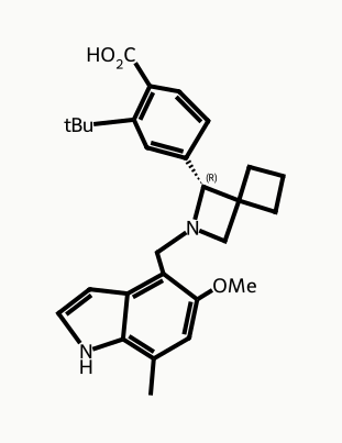 COc1cc(C)c2[nH]ccc2c1CN1CC2(CCC2)[C@H]1c1ccc(C(=O)O)c(C(C)(C)C)c1